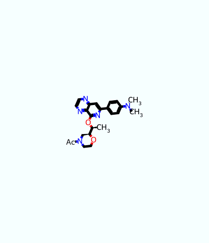 CC(=O)N1CCO[C@H]([C@H](C)Oc2nc(-c3ccc(N(C)C)cc3)cc3nccnc23)C1